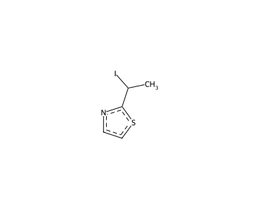 CC(I)c1nccs1